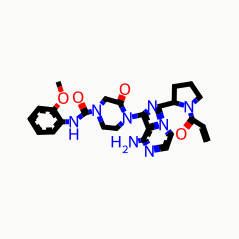 C=CC(=O)N1CCCC1c1nc(N2CCN(C(=O)Nc3ccccc3OC)CC2=O)c2c(N)nccn12